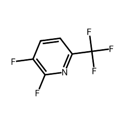 Fc1ccc(C(F)(F)F)nc1F